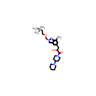 Cc1cc(CC(O)C(=O)N2CCC(N3CCCCC3)CC2)cc2cn(COCC[Si](C)(C)C)nc12